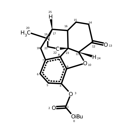 CC(C)COC(=O)Oc1ccc2c3c1O[C@H]1C(=O)CCC4[C@@H](C2)N(C)CC[C@@]341